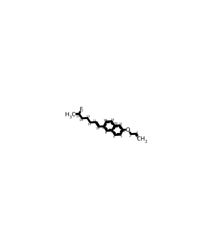 C=CCOc1ccc2cc(C=CCCCC(C)F)ccc2c1